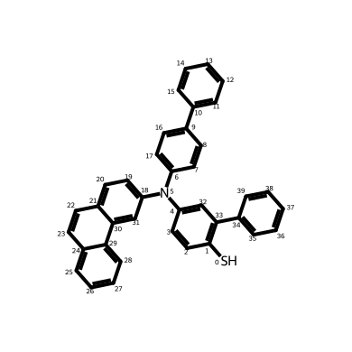 Sc1ccc(N(c2ccc(-c3ccccc3)cc2)c2ccc3ccc4ccccc4c3c2)cc1-c1ccccc1